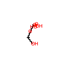 CC(C)(CCCCCO)CCCCOCCCCC(C)(C)OP(=O)(O)O